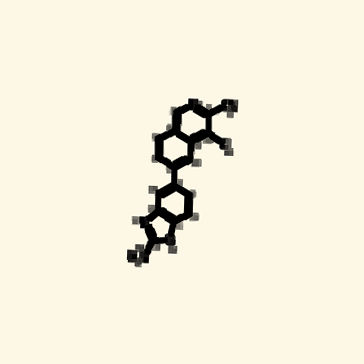 N#Cc1ncc2ccc(-c3ccc4oc(N)nc4c3)cc2c1Cl